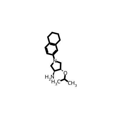 CC(C)O[C@H]1CN(c2ccc3c(c2)CCCC3)C[C@@H]1N